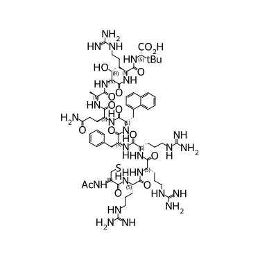 CC(=O)N[C@@H](CS)C(=O)N[C@@H](CCCNC(=N)N)C(=O)N[C@@H](CCCNC(=N)N)C(=O)N[C@@H](CCCNC(=N)N)C(=O)N[C@@H](Cc1ccccc1)C(=O)N[C@@H](Cc1cccc2ccccc12)C(=O)N[C@@H](CCC(N)=O)C(=O)N[C@@H](C)C(=O)N[C@H](C(=O)N[C@@H](CCCNC(=N)N)C(=O)N[C@H](C(=O)O)C(C)(C)C)[C@@H](C)O